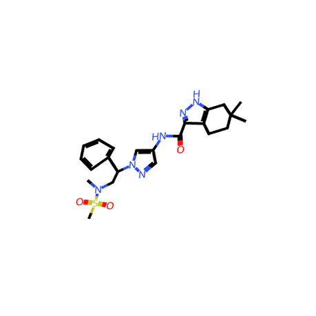 CN(CC(c1ccccc1)n1cc(NC(=O)c2n[nH]c3c2CCC(C)(C)C3)cn1)S(C)(=O)=O